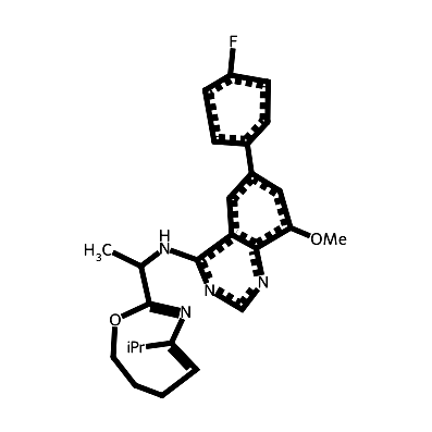 COc1cc(-c2ccc(F)cc2)cc2c(NC(C)/C3=N/C(C(C)C)=C/CCCO3)ncnc12